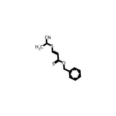 CC(C#N)SC=CC(=S)OCc1ccccc1